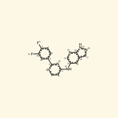 Fc1ccc(-c2nccc(Nc3cnc4[nH]ncc4c3)n2)cc1F